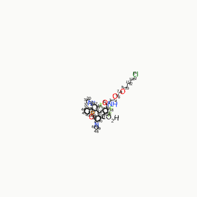 O=C(NCCOCCOCCCCCCCl)c1c(F)c(F)c(C(=O)O)c(C2=C3C=CC(=[N+]4CCC4)C=C3P(=O)(c3ccccc3)c3cc(N4CCC4)ccc32)c1F